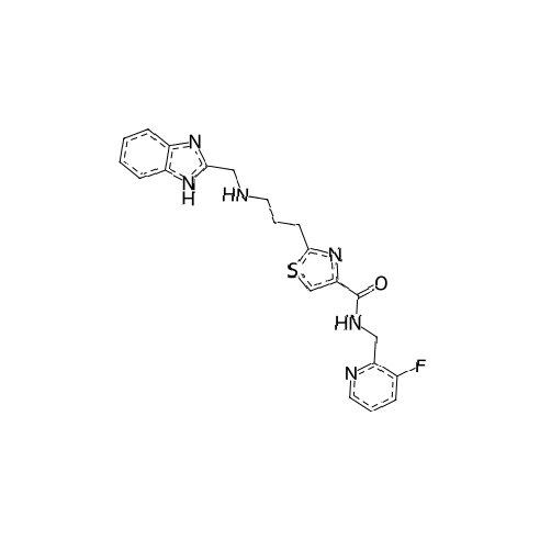 O=C(NCc1ncccc1F)c1csc(CCCNCc2nc3ccccc3[nH]2)n1